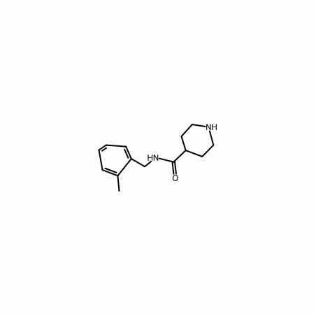 Cc1ccccc1CNC(=O)C1CCNCC1